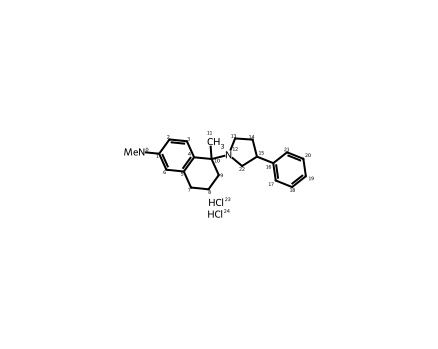 CNc1ccc2c(c1)CCCC2(C)N1CCC(c2ccccc2)C1.Cl.Cl